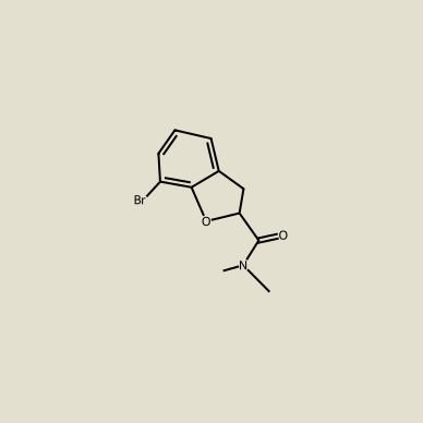 CN(C)C(=O)C1Cc2cccc(Br)c2O1